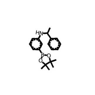 CC(Nc1cccc(B2OC(C)(C)C(C)(C)O2)c1)c1ccccc1